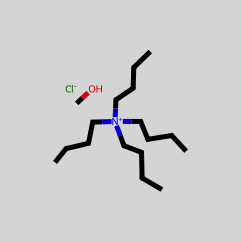 CCCC[N+](CCCC)(CCCC)CCCC.CO.[Cl-]